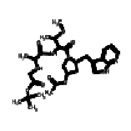 COC(C)C(NC(=O)C(C)NCC(=O)OC(C)(C)C)C(=O)N1CC(OC(C)=O)CC1Cc1c[nH]c2ncccc12